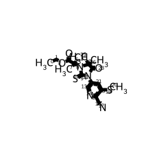 CCOC(=O)C(C)(C)N1C(=S)N(c2cnc(C#N)c(SC)c2)C(=O)C1(C)C